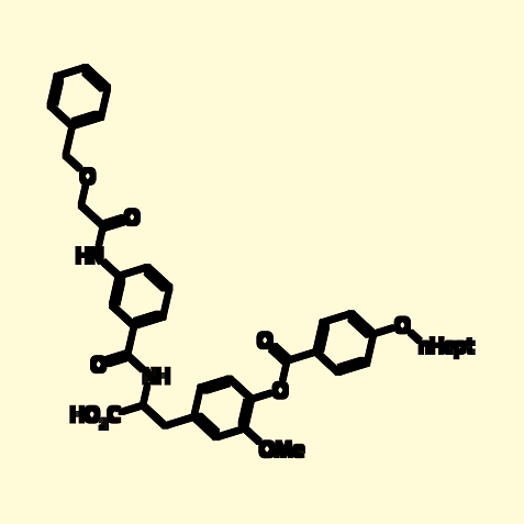 CCCCCCCOc1ccc(C(=O)Oc2ccc(CC(NC(=O)c3cccc(NC(=O)COCc4ccccc4)c3)C(=O)O)cc2OC)cc1